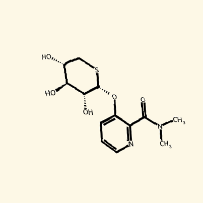 CN(C)C(=O)c1ncccc1O[C@H]1SC[C@@H](O)[C@H](O)[C@H]1O